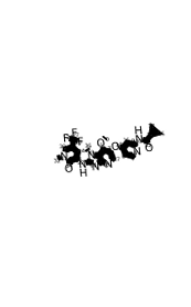 COc1c(Oc2ccnc(NC(=O)C3CC3)c2)cnc2nc(Nc3cc(C(F)(F)F)cn(C)c3=O)n(C)c12